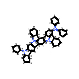 c1ccc(N(c2ccccc2)c2ccc3c4c5c6ccccc6n6c7cc8c(cc7c(cc4n4c7ccccc7c2c34)c56)c2ccccc2n8-c2ccccc2)cc1